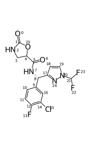 O=C1NCC(C(=O)N[C@@H](c2ccc(F)c(Cl)c2)c2ccn(C(F)F)n2)O1